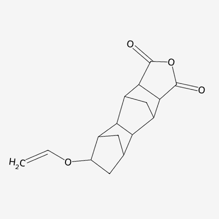 C=COC1CC2CC1C1C3CC(C4C(=O)OC(=O)C34)C21